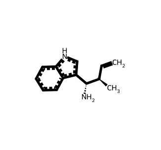 C=C[C@@H](C)[C@H](N)c1c[nH]c2ccccc12